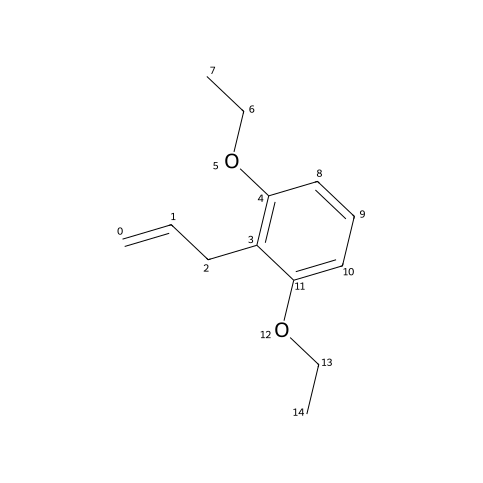 C=CCc1c(OCC)cccc1OCC